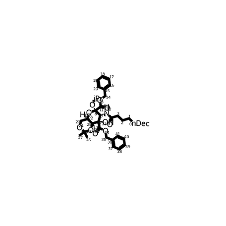 CCCCCCCCCCCCCC(=O)N[C@H]1[C@](OC(C)C)(C(=O)OCc2ccccc2)O[C@@H]2COC(C)(C)O[C@H]2[C@@]1(O)C(=O)OCc1ccccc1